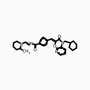 CC1CCCCN1CCNC(=O)c1ccc(/C=C2\Oc3ncccc3N(CC3CCCCC3)C2=O)cc1